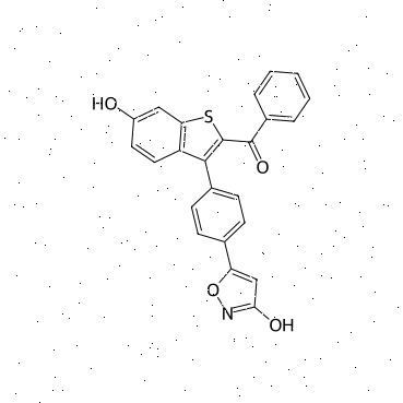 O=C(c1ccccc1)c1sc2cc(O)ccc2c1-c1ccc(-c2cc(O)no2)cc1